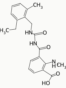 CCc1cccc(C)c1CNC(=O)NC(=O)c1cccc(C(=O)O)c1NC